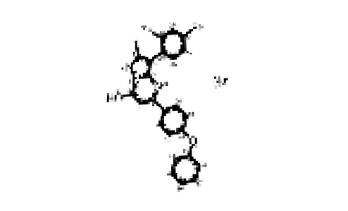 Cc1nn2c(O)cc(-c3ccc(Oc4ccccc4)cc3)nc2c1-c1ccc(F)cc1F.[Na]